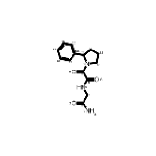 NC(=O)CNC(=O)C(=O)N1CCCC1c1ccccc1